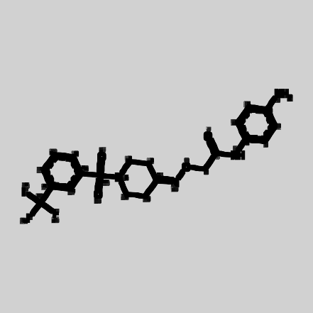 Nc1ccc(NC(=O)CON=C2CCN(S(=O)(=O)c3cccc(C(F)(F)F)c3)CC2)cc1